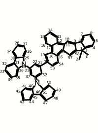 CC1(C)c2ccccc2-c2cc3c4ccccc4c4cc(-c5cc(-n6c7ccccc7c7ccccc76)cc(-n6c7ccccc7c7ccccc76)c5)ccc4c3cc21